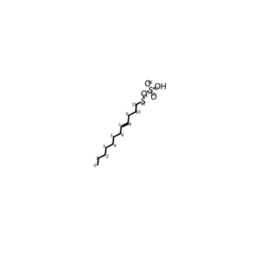 CCCCCCCC=CCCCSOS(=O)(=O)O